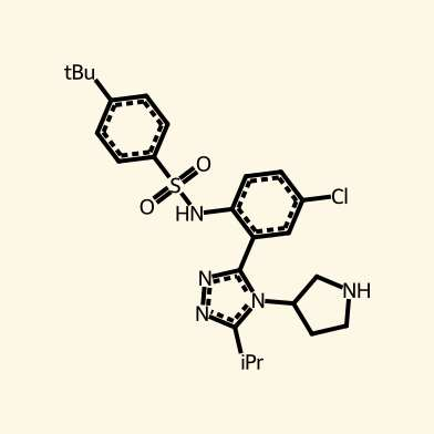 CC(C)c1nnc(-c2cc(Cl)ccc2NS(=O)(=O)c2ccc(C(C)(C)C)cc2)n1C1CCNC1